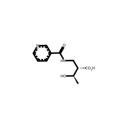 C[C@@H](O)[C@H](CNC(=O)c1cccnc1)C(=O)O